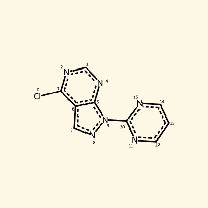 Clc1ncnc2c1cnn2-c1ncccn1